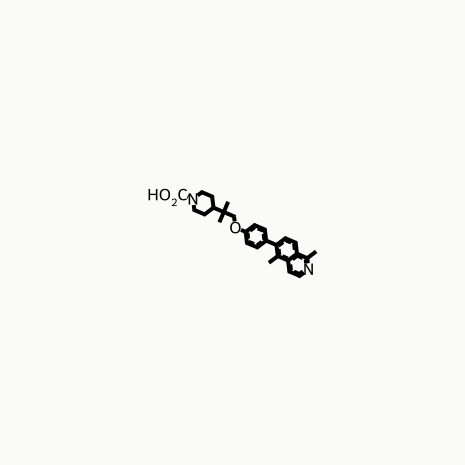 Cc1nccc2c(C)c(-c3ccc(OCC(C)(C)C4CCN(C(=O)O)CC4)cc3)ccc12